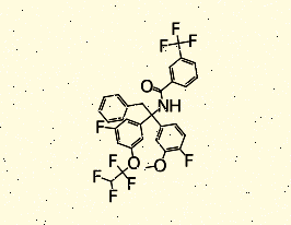 COc1cc(C(Cc2ccccc2)(NC(=O)c2cccc(C(F)(F)F)c2)c2cc(F)cc(OC(F)(F)C(F)F)c2)ccc1F